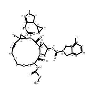 CC(C)(C)OC(=O)N[C@H]1CCCCC/C=C\[C@@H]2C[C@@]2(C(=O)NC2=NNCC2C2CC2)NC(=O)[C@@H]2C[C@@H](OC(=O)N3Cc4cccc(F)c4C3)CN2C1=O